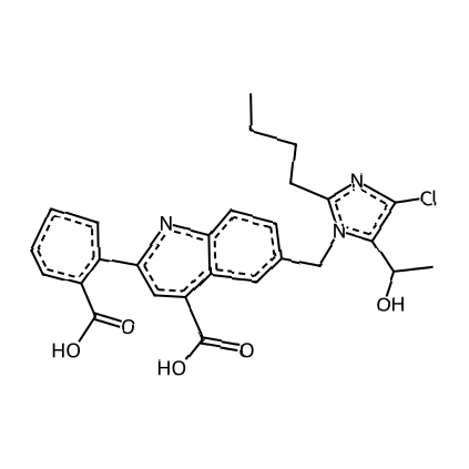 CCCCc1nc(Cl)c(C(C)O)n1Cc1ccc2nc(-c3ccccc3C(=O)O)cc(C(=O)O)c2c1